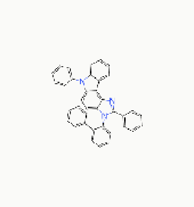 c1ccc(-c2ccccc2-n2c(-c3ccccc3)nc3c4c5ccccc5n(-c5ccccc5)c4ccc32)cc1